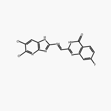 O=c1[nH]c(C=[SH]c2nc3nc(Cl)c(Cl)cc3[nH]2)nc2cc(F)ccc12